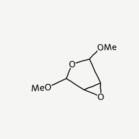 COC1OC(OC)C2OC12